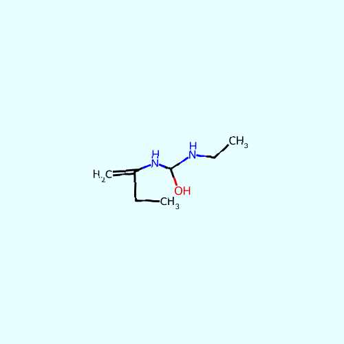 C=C(CC)NC(O)NCC